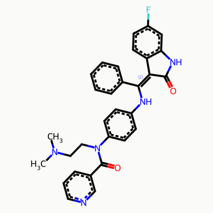 CN(C)CCN(C(=O)c1cccnc1)c1ccc(N/C(=C2\C(=O)Nc3cc(F)ccc32)c2ccccc2)cc1